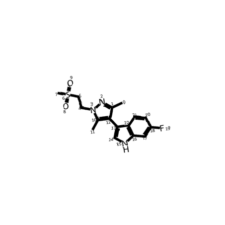 Cc1nn(CCS(C)(=O)=O)c(C)c1-c1c[nH]c2cc(F)ccc12